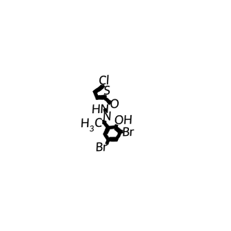 C/C(=N\NC(=O)c1ccc(Cl)s1)c1cc(Br)cc(Br)c1O